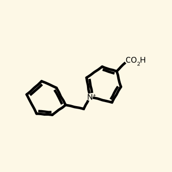 O=C(O)c1cc[n+](Cc2ccccc2)cc1